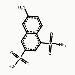 Nc1ccc2c(S(N)(=O)=O)cc(S(N)(=O)=O)cc2c1